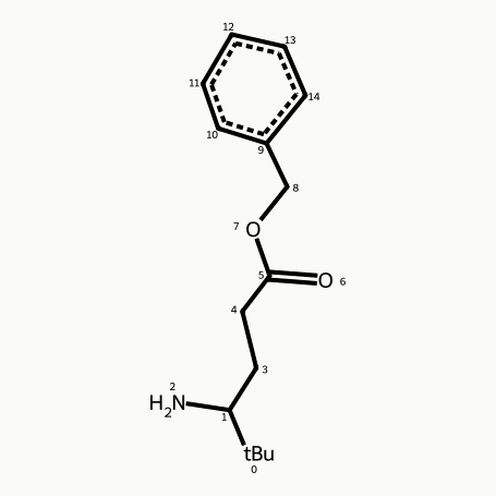 CC(C)(C)C(N)CCC(=O)OCc1ccccc1